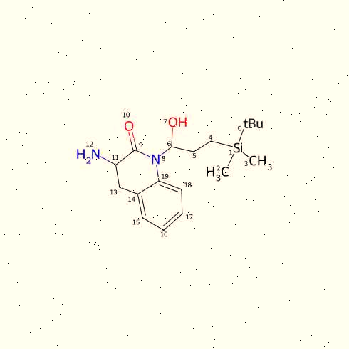 CC(C)(C)[Si](C)(C)CCC(O)N1C(=O)C(N)Cc2ccccc21